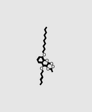 CCC=CCCOc1c(OC(C)=O)c(=O)oc2c(OCCCCCCCCCC)cccc12